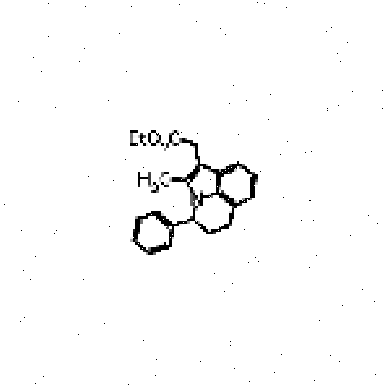 CCOC(=O)Cc1c(C)n2c3c(cccc13)CCC2c1ccccc1